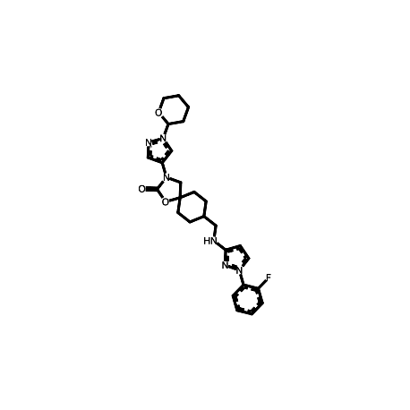 O=C1OC2(CCC(CNc3ccn(-c4ccccc4F)n3)CC2)CN1c1cnn(C2CCCCO2)c1